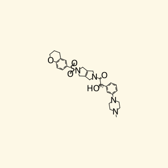 CN1CCN(c2cccc([C@@H](O)C(=O)N3CC4=C(C3)CN(S(=O)(=O)c3ccc5c(c3)CCCO5)C4)c2)CC1